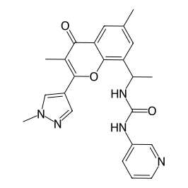 Cc1cc(C(C)NC(=O)Nc2cccnc2)c2oc(-c3cnn(C)c3)c(C)c(=O)c2c1